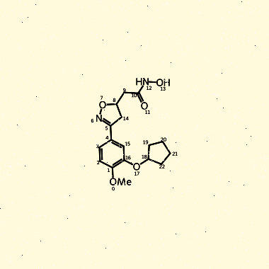 COc1ccc(C2=NOC(CC(=O)NO)C2)cc1OC1CCCC1